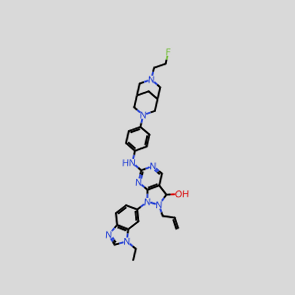 C=CCN1C(O)c2cnc(Nc3ccc(N4CC5CC(CN(CCF)C5)C4)cc3)nc2N1c1ccc2ncn(CC)c2c1